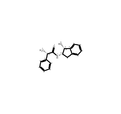 C[C@H](C(=O)N[C@H]1Cc2ccccc2[C@H]1O)c1ccccc1